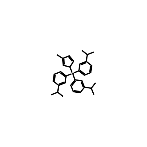 CC1=C[C]([Si](c2cccc(C(C)C)c2)(c2cccc(C(C)C)c2)c2cccc(C(C)C)c2)C=C1